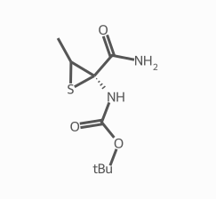 CC1S[C@]1(NC(=O)OC(C)(C)C)C(N)=O